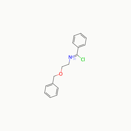 Cl/C(=N\CCOCc1ccccc1)c1ccccc1